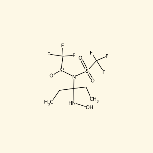 CCC(CC)(NO)N([S+]([O-])C(F)(F)F)S(=O)(=O)C(F)(F)F